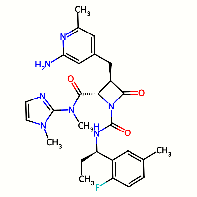 CC[C@@H](NC(=O)N1C(=O)[C@H](Cc2cc(C)nc(N)c2)[C@H]1C(=O)N(C)c1nccn1C)c1cc(C)ccc1F